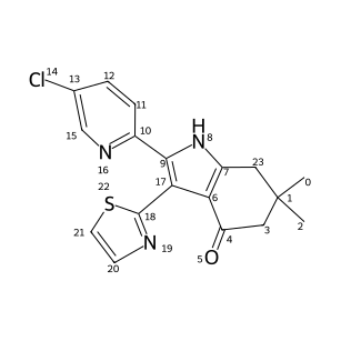 CC1(C)CC(=O)c2c([nH]c(-c3ccc(Cl)cn3)c2-c2nccs2)C1